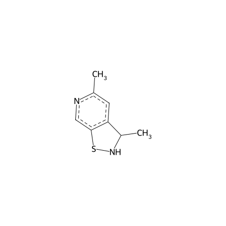 Cc1cc2c(cn1)SNC2C